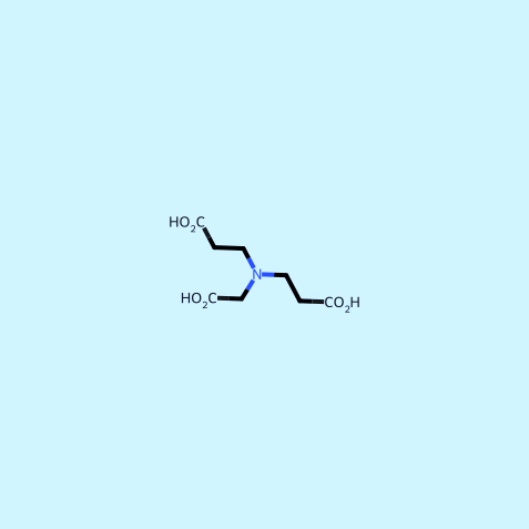 O=C(O)CCN(CCC(=O)O)CC(=O)O